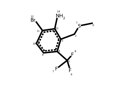 CSCc1c(C(F)(F)F)ccc(Br)c1N